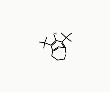 CC(C)(C)c1c2[c]c(c(C(C)(C)C)c1O)CCCC2